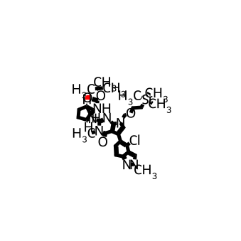 Cn1cc2c(Cl)c(-c3cn(COCC[Si](C)(C)C)c4nc(N5C[C@@H]6CC[C@H]5[C@H]6NC(=O)OC(C)(C)C)n(C)c(=O)c34)ccc2n1